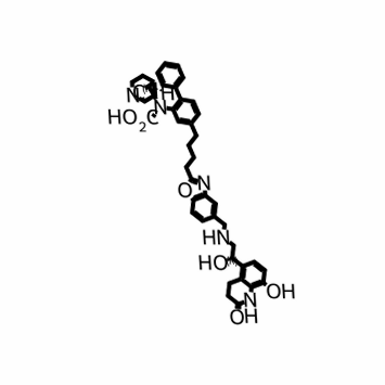 O=C1CCc2c([C@@H](O)CNCc3ccc4oc(CCCCc5ccc(-c6ccccc6)c(N(C(=O)O)[C@H]6CN7CCC6CC7)c5)nc4c3)ccc(O)c2N1